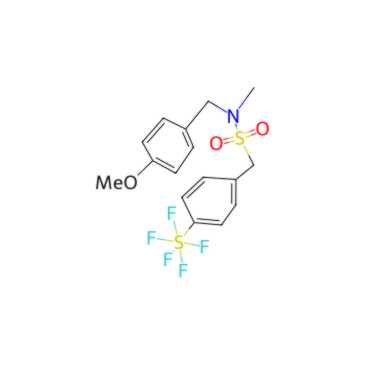 COc1ccc(CN(C)S(=O)(=O)Cc2ccc(S(F)(F)(F)(F)F)cc2)cc1